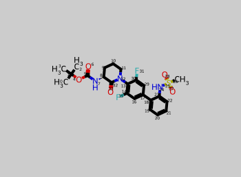 CC(C)(C)OC(=O)N[C@@H]1CCCN(c2c(F)cc(-c3ccccc3NS(C)(=O)=O)cc2F)C1=O